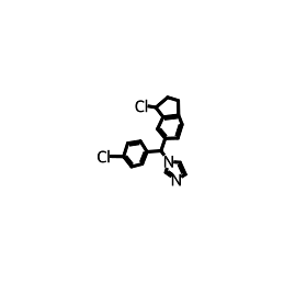 Clc1ccc(C(c2ccc3c(c2)C(Cl)CC3)n2ccnc2)cc1